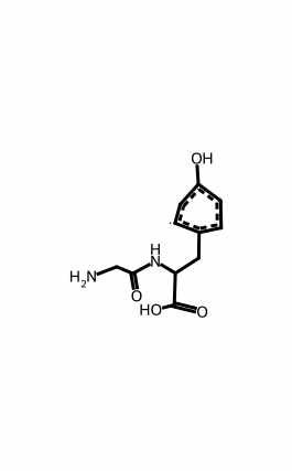 NCC(=O)NC(Cc1[c]cc(O)cc1)C(=O)O